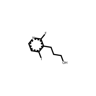 OCCCc1c(I)ccnc1F